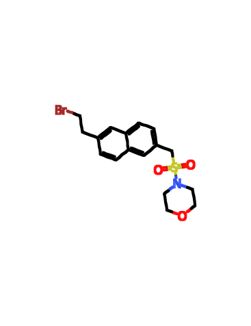 O=S(=O)(Cc1ccc2cc(CCBr)ccc2c1)N1CCOCC1